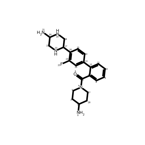 NC1CCN(C(=O)c2ccccc2-c2ccc(C3CNC(N)CN3)c(F)c2)CC1